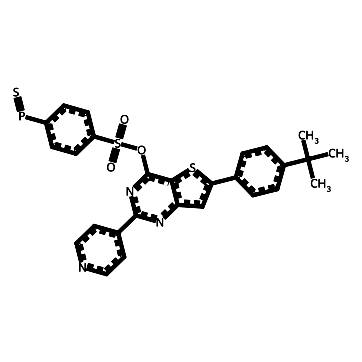 CC(C)(C)c1ccc(-c2cc3nc(-c4ccncc4)nc(OS(=O)(=O)c4ccc(P=S)cc4)c3s2)cc1